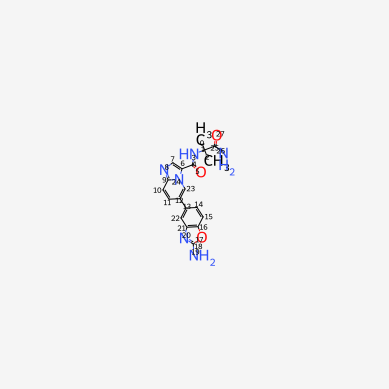 CC(C)(NC(=O)c1cnc2ccc(-c3ccc4oc(N)nc4c3)cn12)C(N)=O